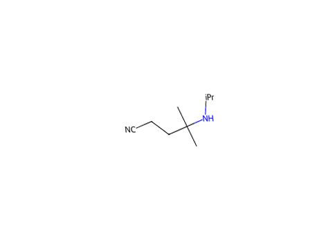 CC(C)NC(C)(C)CCC#N